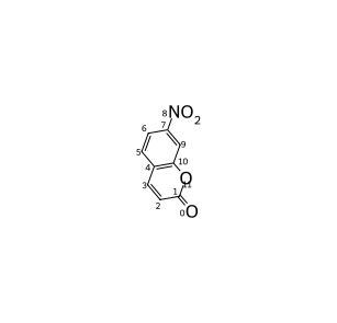 O=c1ccc2ccc([N+](=O)[O-])cc2o1